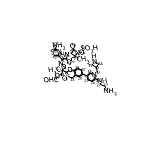 CC1(C)[C@H](NC(=O)/C(=N\O[C@](C)(C(=O)OC=O)[C@H]2CCc3cc(-c4ccc(NCCN)[n+](CC5CNC5)c4)ccc3O2)c2csc(N)n2)C(=O)N1OS(=O)(=O)O